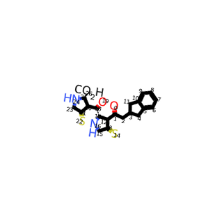 O=C(CC1Cc2ccccc2C1)C1C(=S)CN[C@@H]1C(=O)C1C(=S)CN[C@@H]1C(=O)O